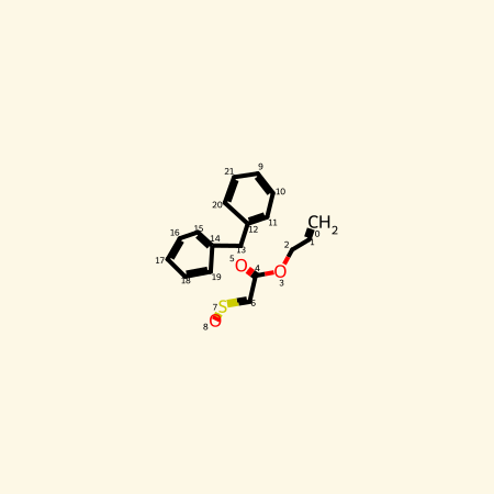 C=CCOC(=O)C=S=O.c1ccc(Cc2ccccc2)cc1